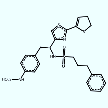 O=S(=O)(O)Nc1ccc(C[C@H](NS(=O)(=O)CCCc2ccccc2)c2csc(C3=CCCS3)n2)cc1